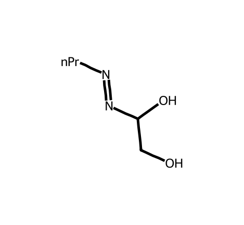 CCCN=NC(O)CO